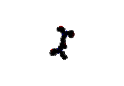 c1ccc(-c2ccc3cc(-c4nc(-c5ccc(-c6ccc(-c7ccc8cc(-c9ccc(-c%10nc(-c%11ccc(-c%12cccc%13oc%14ccccc%14c%12%13)cc%11)nc(-c%11ccc%12c(ccc%13oc%14ccccc%14c%13%12)c%11)n%10)cc9)ccc8c7)c7oc8ccccc8c67)cc5)nc(-c5ccc6c(ccc7oc8ccccc8c76)c5)n4)ccc3c2)cc1